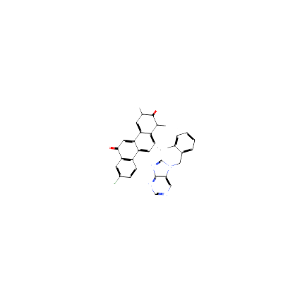 CC1C=c2c(ccc3c2=CC(=O)c2cc(Cl)ccc2-3)C(C)C1=O.N#Cc1ccccc1Cn1cnc2ncncc21